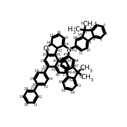 CC1(C)c2ccccc2-c2ccc(N(C3=CC=CC4Oc5cc(-c6ccc(-c7ccccc7)cc6)c6ccccc6c5C34)c3ccc4c(c3)C(C)(C)c3ccccc3-4)cc21